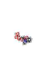 COC(=O)COC(C)(C)O[C@@H](C)C(=O)N1CCCC1c1ccccc1